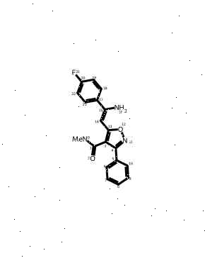 CNC(=O)c1c(-c2ccccc2)noc1C=C(N)c1ccc(F)cc1